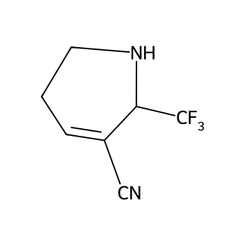 N#CC1=CCCNC1C(F)(F)F